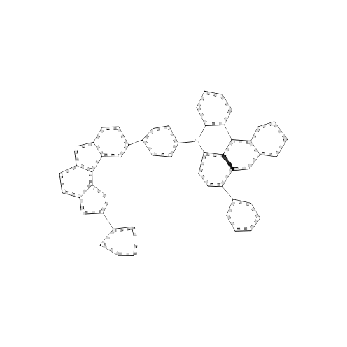 c1ccc(-c2ccc(N(c3ccc(-c4ccc5oc6ccc7nc(-c8ccccc8)oc7c6c5c4)cc3)c3ccccc3-c3cccc4ccccc34)cc2)cc1